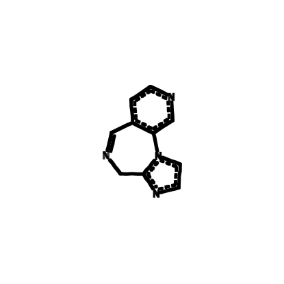 C1=NCc2nccn2-c2cnccc21